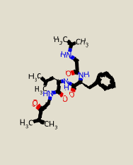 CC(C)C[C@H](NC(=O)[C@H](Cc1ccccc1)NC(=O)CNC(C)C)C(=O)NCC(=O)C(C)C